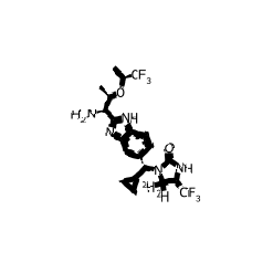 [2H]C1([2H])C(C(F)(F)F)NC(=O)N1[C@@H](c1ccc2[nH]c([C@@H](N)[C@@H](C)O[C@@H](C)C(F)(F)F)nc2c1)C1CC1